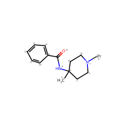 CC(C)N1CCC(C)(NC(=O)c2ccccc2)CC1